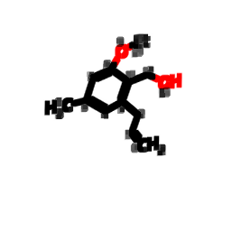 C=CCc1cc(C)cc(OCC)c1CO